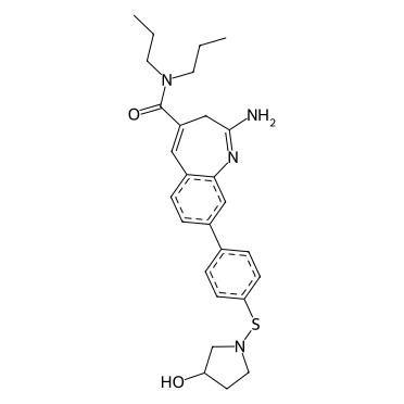 CCCN(CCC)C(=O)C1=Cc2ccc(-c3ccc(SN4CCC(O)C4)cc3)cc2N=C(N)C1